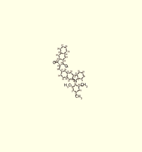 Cc1cc(C)c(-n2c3ccccc3c3cc4cc(C=C5C(=O)c6cc7ccccc7cc6C5=O)ccc4cc32)c(C)c1